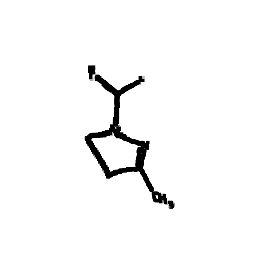 CC1=NN(C(F)F)CC1